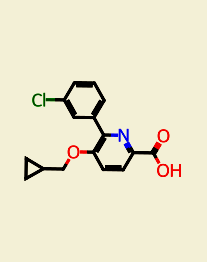 O=C(O)c1ccc(OCC2CC2)c(-c2cccc(Cl)c2)n1